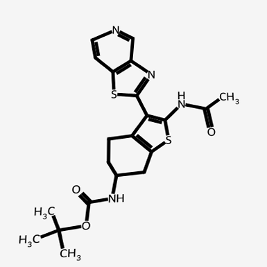 CC(=O)Nc1sc2c(c1-c1nc3cnccc3s1)CCC(NC(=O)OC(C)(C)C)C2